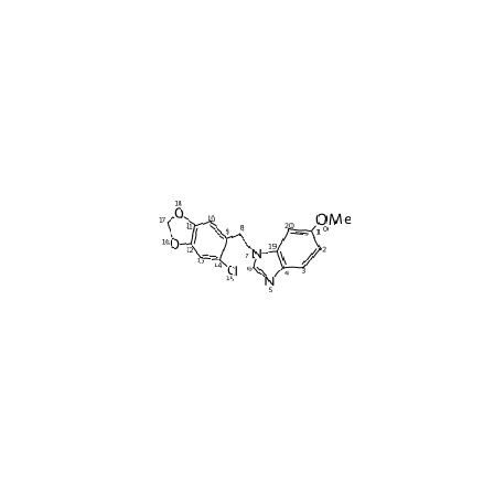 COc1ccc2ncn(Cc3cc4c(cc3Cl)OCO4)c2c1